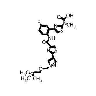 CN(C(=O)O)c1nc(-c2cc(F)ccc2NC(=O)c2csc(-c3cnn(COCC[Si](C)(C)C)c3)n2)cs1